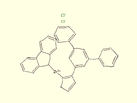 C1=CC(c2cc(-c3ccccc3)cc(-c3ccccc3)c2)=[C]([Zr+2][CH]2c3ccccc3-c3ccccc32)C1.[Cl-].[Cl-]